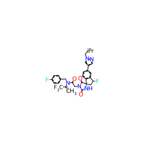 CC(C)Cn1cc(-c2ccc3c(c2)C(F)CC32NC(=O)N(CC(=O)N(Cc3ccc(F)cc3)[C@@H](C)C(F)(F)F)C2=O)cn1